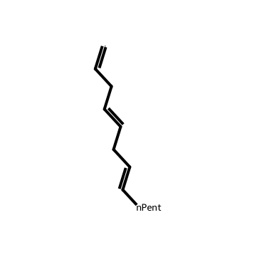 [CH]=CCC=CCC=CCCCCC